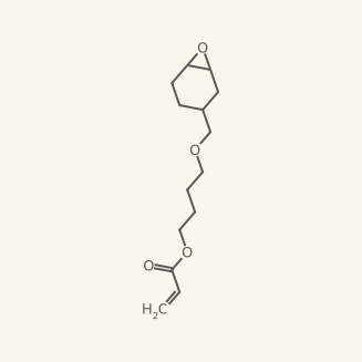 C=CC(=O)OCCCCOCC1CCC2OC2C1